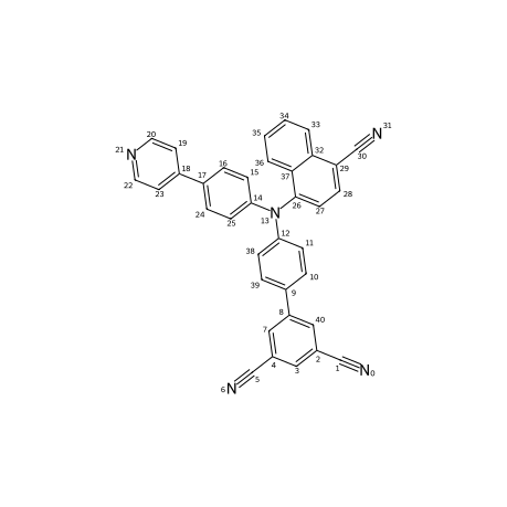 N#Cc1cc(C#N)cc(-c2ccc(N(c3ccc(-c4ccncc4)cc3)c3ccc(C#N)c4ccccc34)cc2)c1